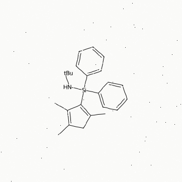 CC1=C(C)C([Si](NC(C)(C)C)(c2ccccc2)c2ccccc2)=C(C)C1